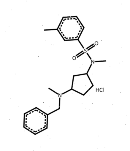 Cc1cccc(S(=O)(=O)N(C)C2CCC(N(C)Cc3ccccc3)C2)c1.Cl